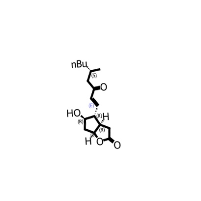 CCCC[C@H](C)CC(=O)/C=C/[C@@H]1[C@H]2CC(=O)O[C@H]2C[C@H]1O